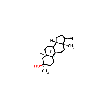 CCC1CC[C@H]2[C@@H]3CC[C@@H]4C[C@](C)(O)CC[C@]4(F)C3CC[C@]12C